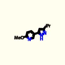 COc1ccc(-c2cc(C(C)C)n[nH]2)cn1